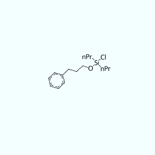 CCC[Si](Cl)(CCC)OCCCc1ccccc1